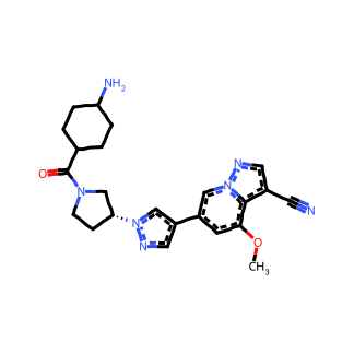 COc1cc(-c2cnn([C@@H]3CCN(C(=O)C4CCC(N)CC4)C3)c2)cn2ncc(C#N)c12